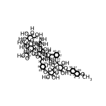 COc1ccc2cc(COC3C(O)C(CO)OC(OC4C(CO)OC(Oc5ccc(CC(NC(=O)C(N)C(C)c6ccccc6)C(=O)NC(C(=O)NC(C(=O)NC([C]=O)CO)C(O)C6CNC(=N)N6C6OC(CO)C(O)C(O)C6O)C(O)C6CNC(=N)N6)cc5)C(O)C4O)C3O)ccc2c1